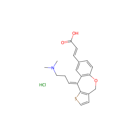 CN(C)CCC=C1c2cc(C=CC(=O)O)ccc2OCc2ccsc21.Cl